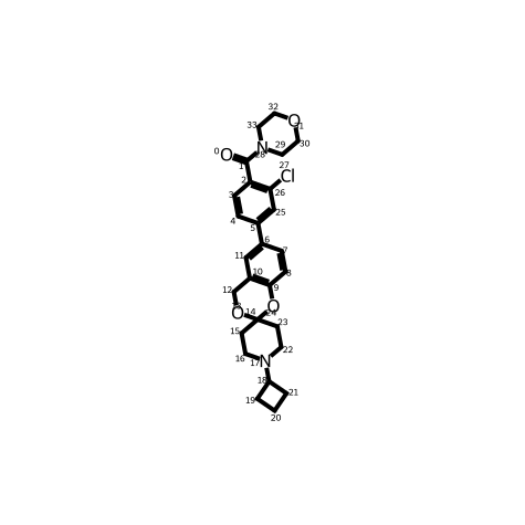 O=C(c1ccc(-c2ccc3c(c2)COC2(CCN(C4CCC4)CC2)O3)cc1Cl)N1CCOCC1